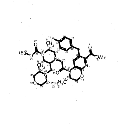 COC(=O)c1nc2c(cc1Cc1ccc(F)cc1)N(C(=O)CN1C[C@@H](C)N(C(=O)OC(C)(C)C)C[C@@H]1CN1[C@H](C)COC[C@H]1C)[C@@H](C)CO2